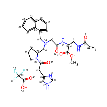 COC(=O)[C@H](CNC(C)=O)NC(=O)CN(Cc1cccc2ccccc12)CC1CCCN1C(=O)Cc1c[nH]cn1.O=C(O)C(F)(F)F